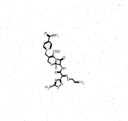 C=CCON=C(C(=O)NC1C(=O)N2C(C(=O)[O-])=C(C[n+]3ccc(C(N)=O)cc3)CS[C@@H]12)c1nsc(N)n1